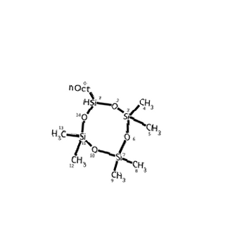 CCCCCCCC[SiH]1O[Si](C)(C)O[Si](C)(C)O[Si](C)(C)O1